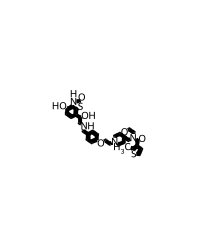 Cc1sccc1C(=O)N1CCOC2(CCN(CCOc3ccc(CNCC(O)c4ccc(O)c5[nH]c(=O)sc45)cc3)CC2)C1